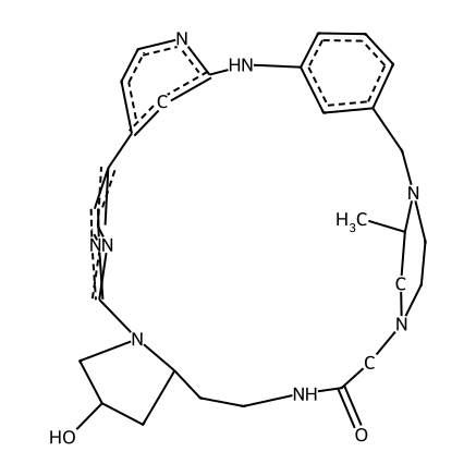 CC1CN2CCN1Cc1cccc(c1)Nc1cc(ccn1)-c1cnc(nc1)N1CC(O)CC1CCNC(=O)C2